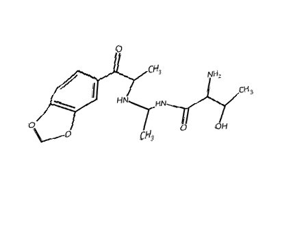 CC(NC(=O)C(N)C(C)O)NC(C)C(=O)c1ccc2c(c1)OCO2